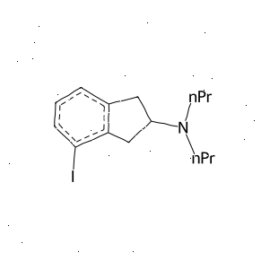 CCCN(CCC)C1Cc2cccc(I)c2C1